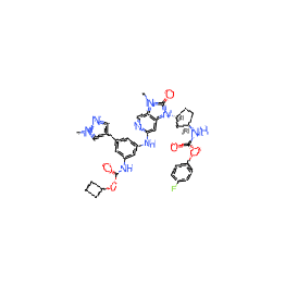 Cn1cc(-c2cc(NC(=O)OC3CCC3)cc(Nc3cc4c(cn3)n(C)c(=O)n4[C@@H]3CC[C@@H](NC(=O)Oc4ccc(F)cc4)C3)c2)cn1